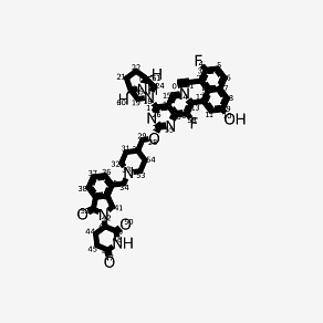 C#Cc1c(F)ccc2cc(O)cc(-c3ncc4c(N5C[C@H]6CC[C@@H](C5)N6)nc(OCC5CCN(Cc6cccc7c6CN(C6CCC(=O)NC6=O)C7=O)CC5)nc4c3F)c12